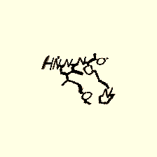 C=C1C(C(C)CCOCC)=CC(NC)=N/C1=N/C(OCCCN1CCCC1)=C(\C)OC